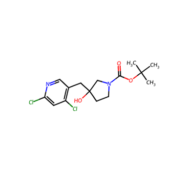 CC(C)(C)OC(=O)N1CCC(O)(Cc2cnc(Cl)cc2Cl)C1